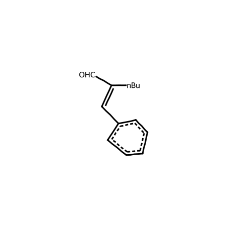 CCCC/C(C=O)=C\c1ccccc1